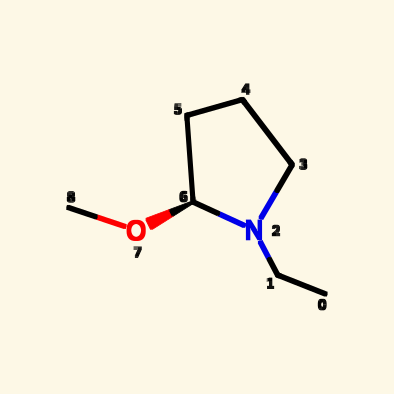 CCN1CCC[C@@H]1OC